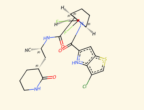 N#C[C@@H](C[C@H]1CCCNC1=O)NC(=O)[C@H]1[C@H]2CC[C@H](CC2(F)F)N1C(=O)c1cc2scc(Cl)c2[nH]1